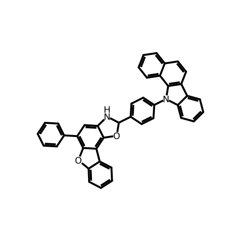 c1ccc(-c2cc3c(c4c2oc2ccccc24)OC(c2ccc(-n4c5ccccc5c5ccc6ccccc6c54)cc2)N3)cc1